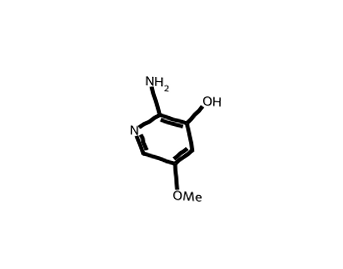 COc1cnc(N)c(O)c1